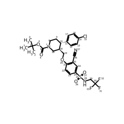 CC(C)(C)OC(=O)N1CC[C@H](c2ccc(Cl)cc2)[C@@H](COc2ccc(S(=O)(=O)NCC(F)(F)F)cc2C#N)C1